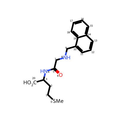 CSCCC(NC(=O)CNCc1cccc2ccccc12)C(=O)O